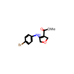 COC(=O)C1=C(Nc2ccc(Br)cc2)COC1